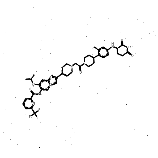 Cc1cc(NC2CCC(=O)NC2=O)ccc1C1CCN(C(=O)CN2CCC(c3cn4cc(NC(=O)c5cccc(C(F)(F)F)n5)c(OC(C)C)cc4n3)CC2)CC1